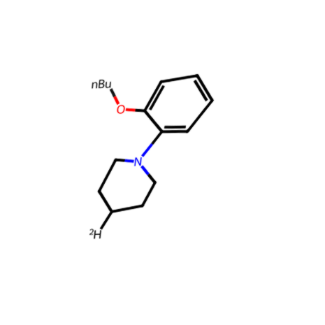 [2H]C1CCN(c2ccccc2OCCCC)CC1